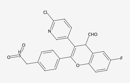 O=CC1C(c2ccc(Cl)nc2)=C(c2ccc(C[SH](=O)=O)cc2)Oc2ccc(F)cc21